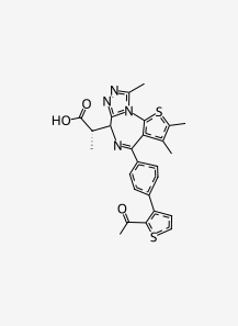 CC(=O)c1sccc1-c1ccc(C2=NC([C@H](C)C(=O)O)c3nnc(C)n3-c3sc(C)c(C)c32)cc1